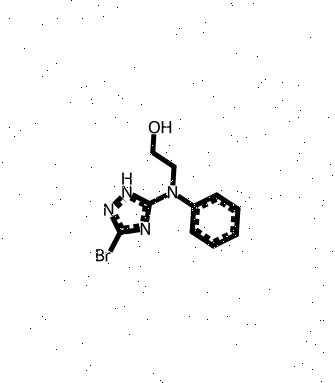 OCCN(c1ccccc1)c1nc(Br)n[nH]1